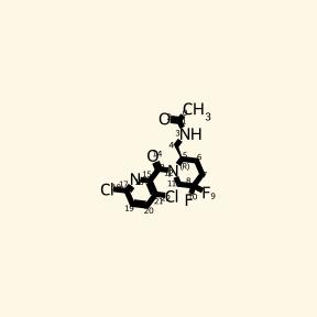 CC(=O)NC[C@H]1CCC(F)(F)CN1C(=O)c1nc(Cl)ccc1Cl